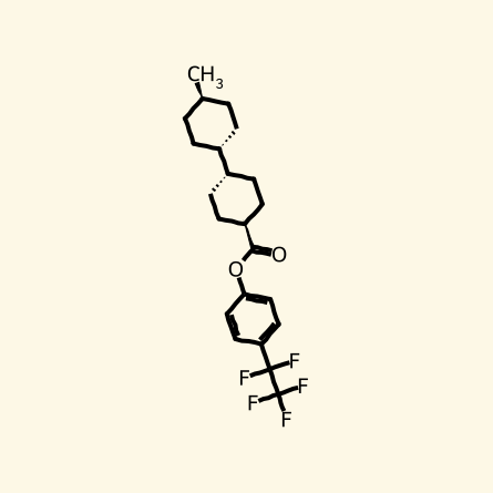 C[C@H]1CC[C@H]([C@H]2CC[C@H](C(=O)Oc3ccc(C(F)(F)C(F)(F)F)cc3)CC2)CC1